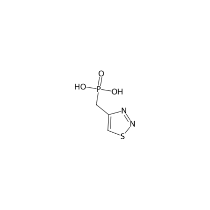 O=P(O)(O)Cc1csnn1